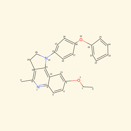 CCOc1ccc2nc(C)c3c(c2c1)N(c1ccc(Oc2ccccc2)cc1)CC3